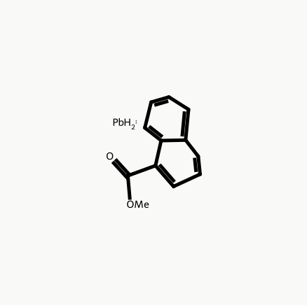 COC(=O)c1cccc2ccccc12.[PbH2]